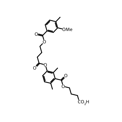 COc1cc(C(=O)OCCCC(=O)Oc2ccc(C)c(C(=O)OCCCC(=O)O)c2C)ccc1C